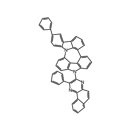 c1ccc(-c2ccc3c(c2)c2cccc4c5cccc6c5c5c(cccc5n3c42)n6-c2nc3ccc4ccccc4c3nc2-c2ccccc2)cc1